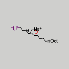 CCCCCCCCCCCCCCCCCCP.C[O-].[Na+]